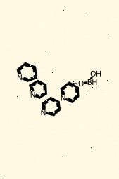 OBO.c1ccncc1.c1ccncc1.c1ccncc1.c1ccncc1